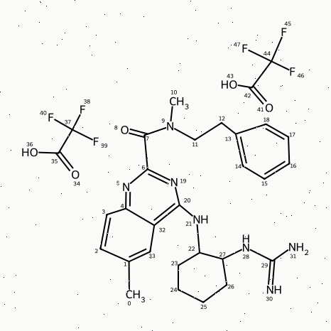 Cc1ccc2nc(C(=O)N(C)CCc3ccccc3)nc(NC3CCCCC3NC(=N)N)c2c1.O=C(O)C(F)(F)F.O=C(O)C(F)(F)F